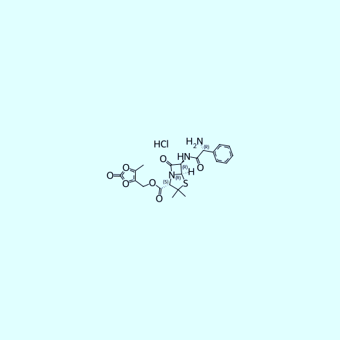 Cc1oc(=O)oc1COC(=O)[C@@H]1N2C(=O)[C@@H](NC(=O)[C@H](N)c3ccccc3)[C@H]2SC1(C)C.Cl